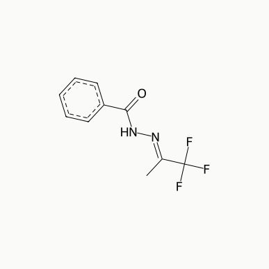 C/C(=N\NC(=O)c1ccccc1)C(F)(F)F